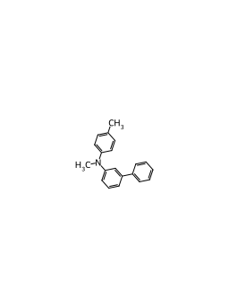 Cc1ccc(N(C)c2cccc(-c3ccccc3)c2)cc1